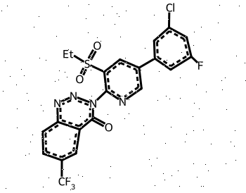 CCS(=O)(=O)c1cc(-c2cc(F)cc(Cl)c2)cnc1-n1nnc2ccc(C(F)(F)F)cc2c1=O